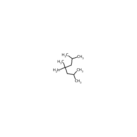 CC(C)C[C](C)([InH2])CC(C)C